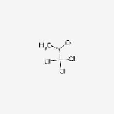 CC([O])C(Cl)(Cl)Cl